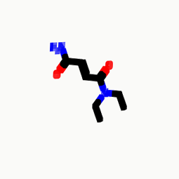 CCN(CC)C(=O)/C=C/C(N)=O